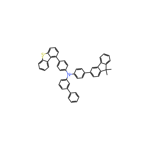 CC1(C)c2ccccc2-c2cc(-c3ccc(N(c4ccc(-c5cccc6sc7ccccc7c56)cc4)c4cccc(-c5ccccc5)c4)cc3)ccc21